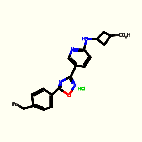 CC(C)Cc1ccc(-c2nc(-c3ccc(NC4CC(C(=O)O)C4)nc3)no2)cc1.Cl